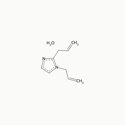 C=CCc1nccn1CC=C.O